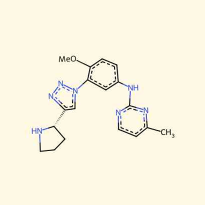 COc1ccc(Nc2nccc(C)n2)cc1-n1cc([C@@H]2CCCN2)nn1